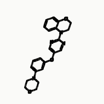 c1cc(Oc2cnc(N3CCOc4ccccc43)nc2)cc(N2CCOCC2)c1